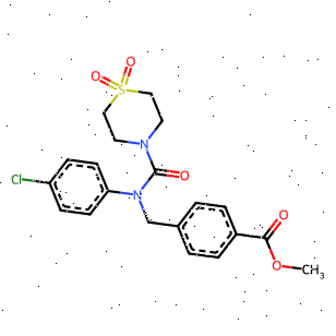 COC(=O)c1ccc(CN(C(=O)N2CCS(=O)(=O)CC2)c2ccc(Cl)cc2)cc1